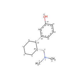 CN(C)C[C@@H]1CCCC[C@@H]1c1cccc(O)c1